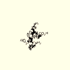 CC(C)(ON=C(C(=O)N[C@@H]1C(=O)N(S(=O)(=O)O)[C@@H]1Cn1nnnc1CN)c1csc(N)n1)C(=O)O